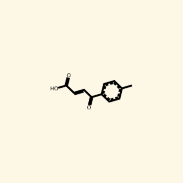 Cc1ccc(C(=O)C=CC(=O)O)cc1